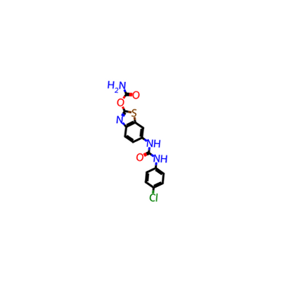 NC(=O)Oc1nc2ccc(NC(=O)Nc3ccc(Cl)cc3)cc2s1